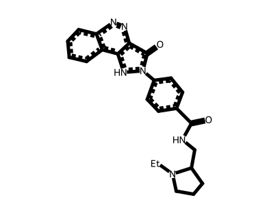 CCN1CCCC1CNC(=O)c1ccc(-n2[nH]c3c(nnc4ccccc43)c2=O)cc1